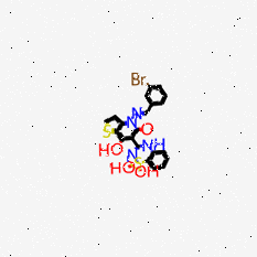 O=c1c(C2=NS(O)(O)c3ccccc3N2)c(O)c2sccc2n1N=Cc1cccc(Br)c1